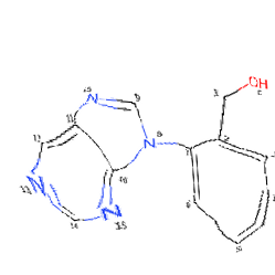 OCc1ccccc1-n1cnc2cncnc21